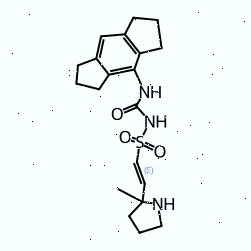 CC1(/C=C/S(=O)(=O)NC(=O)Nc2c3c(cc4c2CCC4)CCC3)CCCN1